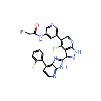 CC(C)CC(=O)Nc1cncc(-c2cnc3[nH]nc(-c4nc5c(-c6ccccc6F)ccnc5[nH]4)c3c2F)c1